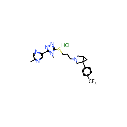 Cc1cnc(-c2nnc(SCCCN3CC4CC4(c4ccc(C(F)(F)F)cc4)C3)n2C)cn1.Cl